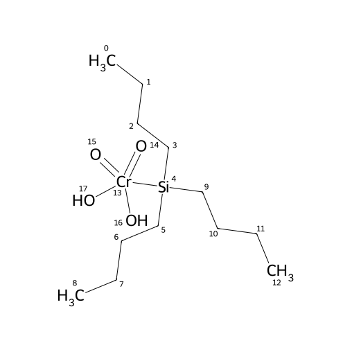 CCCC[Si](CCCC)(CCCC)[Cr](=[O])(=[O])([OH])[OH]